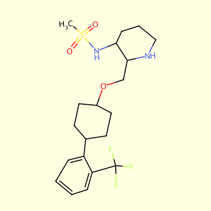 CS(=O)(=O)NC1CCCNC1COC1CCC(c2ccccc2C(F)(F)F)CC1